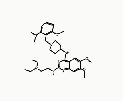 CCN(CC)CCNc1nc(NC2CCN(Cc3c(OC)cccc3N(C)C)CC2)c2cc(OC)c(OC)cc2n1